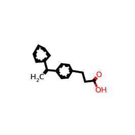 C=C(c1ccccc1)c1ccc(CCC(=O)O)cc1